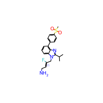 CC(C)c1nc2c(-c3ccc(S(C)(=O)=O)cc3)cccc2n1C/C(F)=C/CN